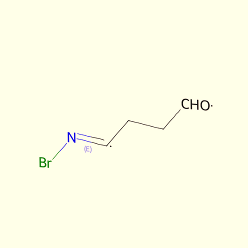 O=[C]CC/[C]=N/Br